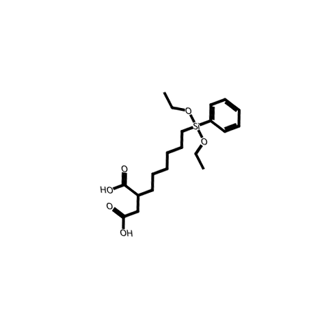 CCO[Si](CCCCCCC(CC(=O)O)C(=O)O)(OCC)c1ccccc1